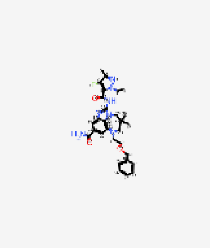 CCn1nc(C)c(F)c1C(=O)Nc1nc2cc(C(N)=O)cc3c2n1CC(C)(C)CN3CCOCc1ccccc1